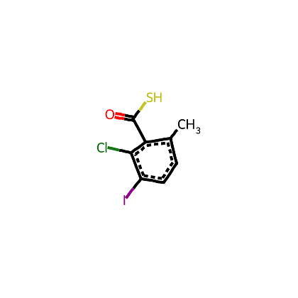 Cc1ccc(I)c(Cl)c1C(=O)S